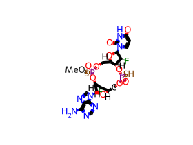 COSP1(=O)OC[C@H]2O[C@@H](n3ccc(=O)[nH]c3=O)[C@H](F)[C@@H]2OP(=O)(S)OC[C@H]2O[C@@H](n3cnc4c(N)ncnc43)[C@H](O1)[C@@H]2F